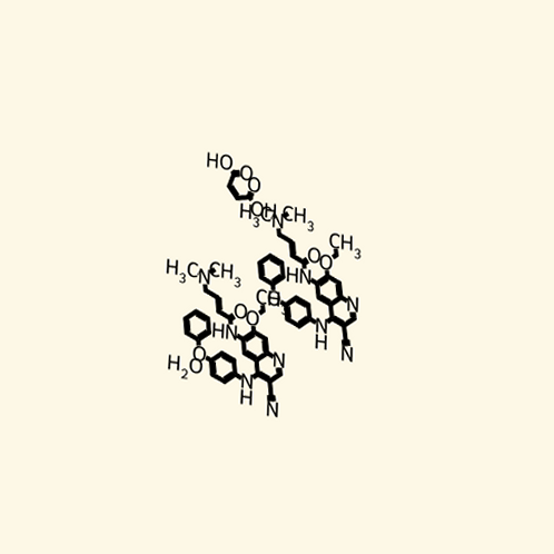 CCOc1cc2ncc(C#N)c(Nc3ccc(Oc4ccccc4)cc3)c2cc1NC(=O)/C=C/CN(C)C.CCOc1cc2ncc(C#N)c(Nc3ccc(Oc4ccccc4)cc3)c2cc1NC(=O)/C=C/CN(C)C.O.O=C(O)/C=C\C(=O)O